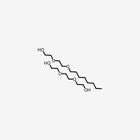 CCCCCCCCOCCOCCO.OCCOCCOCCO